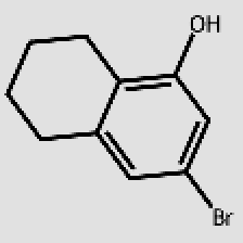 Oc1cc(Br)cc2c1CCCC2